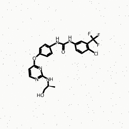 C[C@@H](CO)Nc1nccc(Oc2ccc(NC(=O)Nc3ccc(Cl)c(C(F)(F)F)c3)cc2)n1